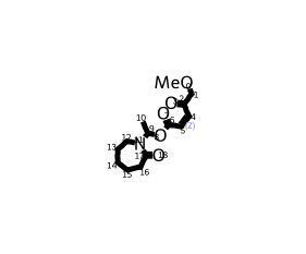 COCC(=O)/C=C\C(=O)OC(C)N1CCCCCC1=O